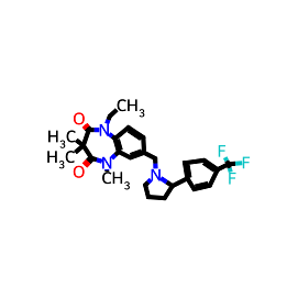 CCN1C(=O)C(C)(C)C(=O)N(C)c2cc(CN3CCCC3c3ccc(C(F)(F)F)cc3)ccc21